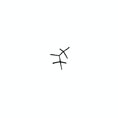 [CH2]C(C(C)(C)C)C(C)(C)C